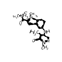 Cc1c(Nc2ccc3c(c2)cc(C(=O)N(C)C)n3C)cnn(C)c1=O